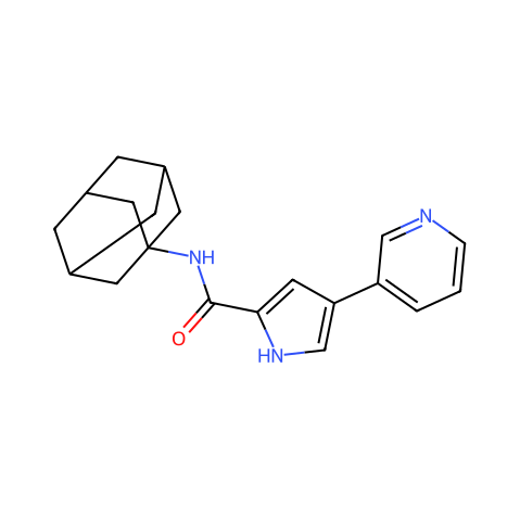 O=C(NC12CC3CC(CC(C3)C1)C2)c1cc(-c2cccnc2)c[nH]1